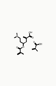 C=C(C)C(=O)O.C=C(C)C(=O)OC(CCN(C)C)CC(=C)C(=O)O